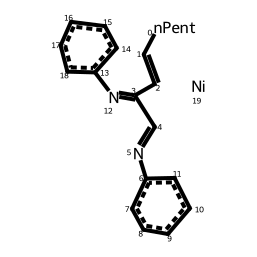 CCCCCC=CC(C=Nc1ccccc1)=Nc1ccccc1.[Ni]